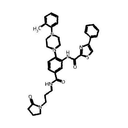 Cc1ccccc1N1CCN(c2ccc(C(=O)NCCCN3CCCC3=O)cc2NC(=O)c2nc(-c3ccccc3)cs2)CC1